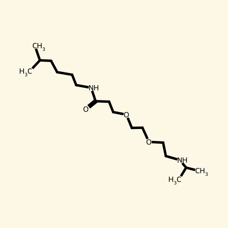 CC(C)CCCCNC(=O)CCOCCOCCNC(C)C